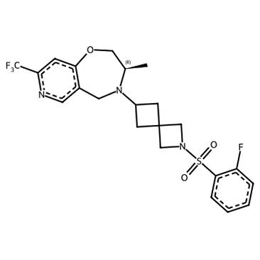 C[C@@H]1COc2cc(C(F)(F)F)ncc2CN1C1CC2(C1)CN(S(=O)(=O)c1ccccc1F)C2